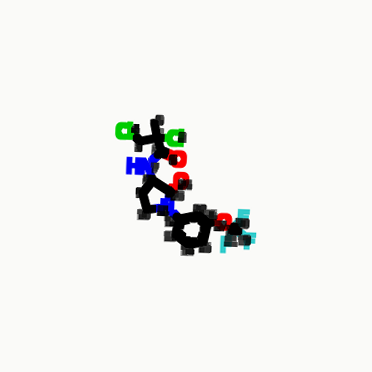 CC(Cl)(CCl)C(=O)NC1CCN(c2cccc(OC(F)(F)F)c2)C1=O